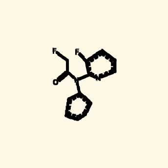 O=C(CF)N(c1ccccc1)c1ncccc1F